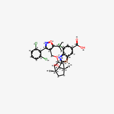 CC(C)c1onc(-c2c(Cl)cccc2Cl)c1COC1C[C@H]2CC[C@@H](C1)C2(O)c1nc2c(F)cc(C(=O)O)cc2s1